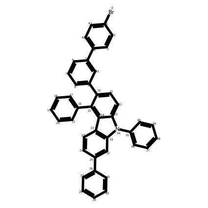 Brc1ccc(-c2cccc(-c3ccc4c(c3-c3ccccc3)c3ccc(-c5ccccc5)cc3n4-c3ccccc3)c2)cc1